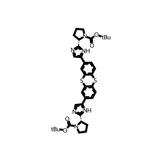 CC(C)(C)OC(=O)N1CCC[C@H]1c1ncc(-c2ccc3c(c2)Sc2cc(-c4cnc([C@@H]5CCCN5C(=O)OC(C)(C)C)[nH]4)ccc2S3)[nH]1